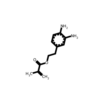 C=C(C)C(=O)OCCc1ccc(N)c(N)c1